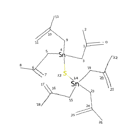 C=C(C)[CH2][Sn]([CH2]C(=C)C)([CH2]C(=C)C)[S][Sn]([CH2]C(=C)C)([CH2]C(=C)C)[CH2]C(=C)C